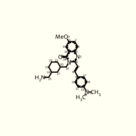 COc1ccc2nc(C=Cc3ccc(N(C)C)cc3)n(CC3CCCC(CN)C3)c(=O)c2c1